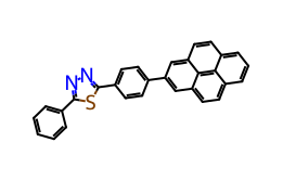 c1ccc(-c2nnc(-c3ccc(-c4cc5ccc6cccc7ccc(c4)c5c67)cc3)s2)cc1